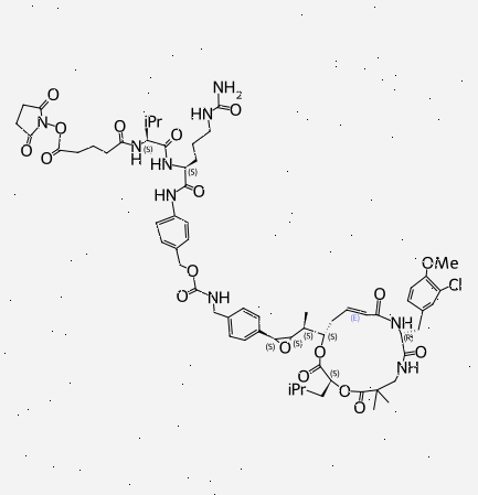 COc1ccc(C[C@H]2NC(=O)/C=C/C[C@@H]([C@H](C)[C@@H]3O[C@H]3c3ccc(CNC(=O)OCc4ccc(NC(=O)[C@H](CCCNC(N)=O)NC(=O)[C@@H](NC(=O)CCCC(=O)ON5C(=O)CCC5=O)C(C)C)cc4)cc3)OC(=O)[C@H](CC(C)C)OC(=O)C(C)(C)CNC2=O)cc1Cl